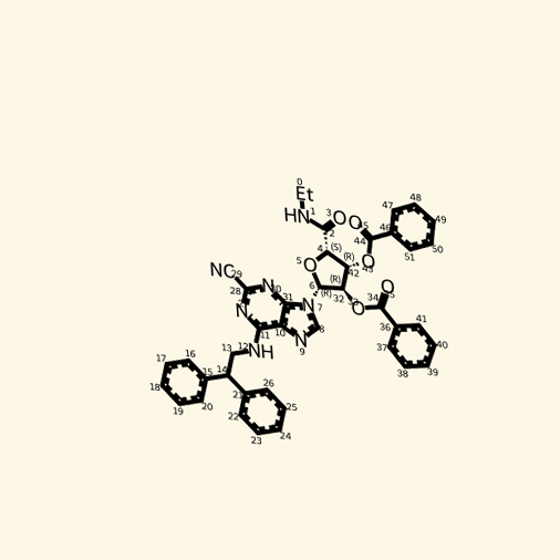 CCNC(=O)[C@H]1O[C@@H](n2cnc3c(NCC(c4ccccc4)c4ccccc4)nc(C#N)nc32)[C@H](OC(=O)c2ccccc2)[C@H]1OC(=O)c1ccccc1